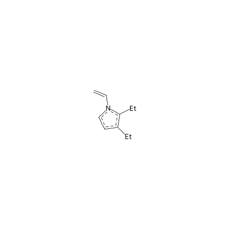 C=Cn1ccc(CC)c1CC